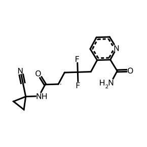 N#CC1(NC(=O)[CH]CC(F)(F)Cc2cccnc2C(N)=O)CC1